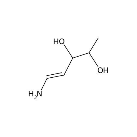 CC(O)C(O)C=CN